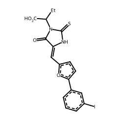 CCC(C(=O)O)N1C(=O)C(=Cc2ccc(-c3cccc(I)c3)o2)NC1=S